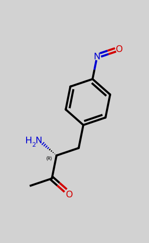 CC(=O)[C@H](N)Cc1ccc(N=O)cc1